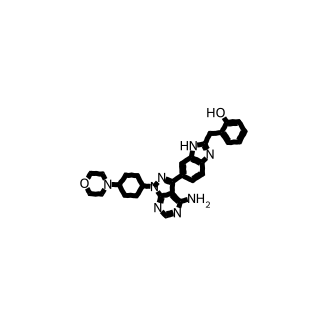 Nc1ncnc2c1c(-c1ccc3nc(Cc4ccccc4O)[nH]c3c1)nn2C1CCC(N2CCOCC2)CC1